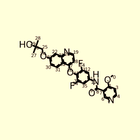 COc1ccncc1C(=O)Nc1cc(F)c(Oc2ccnc3cc(OCC(C)(C)O)ccc23)c(F)c1